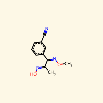 CON=C(C(C)=NO)c1cccc(C#N)c1